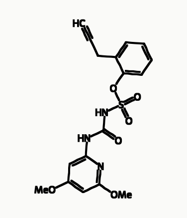 C#CCc1ccccc1OS(=O)(=O)NC(=O)Nc1cc(OC)cc(OC)n1